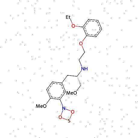 CCOc1ccccc1OCCN[C@H](COC)Cc1ccc(OC)c(N2OSO2)c1